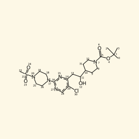 CC(C)(C)OC(=O)N1CCC(C(O)Cc2nc(N3CCN(S(C)(=O)=O)CC3)ncc2Cl)CC1